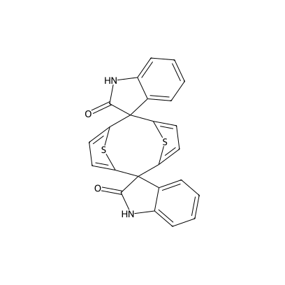 O=C1Nc2ccccc2C12c1ccc(s1)C1(C(=O)Nc3ccccc31)c1ccc2s1